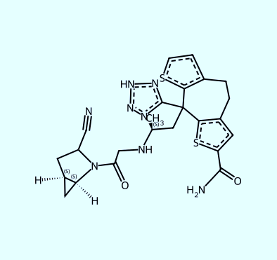 C[C@@H](CC1(c2nn[nH]n2)c2sccc2CCc2cc(C(N)=O)sc21)NCC(=O)N1C(C#N)C[C@@H]2C[C@@H]21